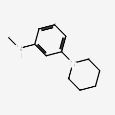 CNc1cccc(N2CCCCC2)c1